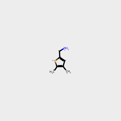 Cc1cc(CN)sc1C